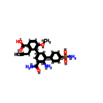 C#CCc1c(C(=O)O)ccc(OC)c1-c1cc(C(N)=O)c(N)c(-c2ccc(S(N)(=O)=O)cc2)c1